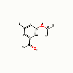 CC(=O)c1cc(C)cc(OC(C)C)c1